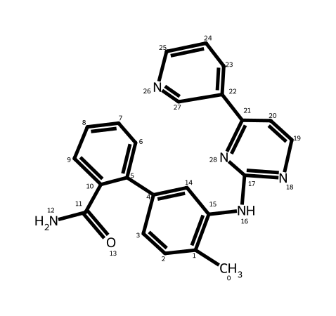 Cc1ccc(-c2ccccc2C(N)=O)cc1Nc1nccc(-c2cccnc2)n1